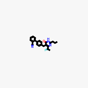 CCCc1nc(C(C)F)c(Cc2ccc(-c3ccccc3C#N)cc2)c(=O)[nH]1